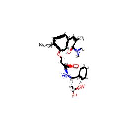 COc1ccc(C=C(C#N)C(=O)N(C)C)cc1OCCC(=O)N[C@@H](CB(O)O)c1ccccc1